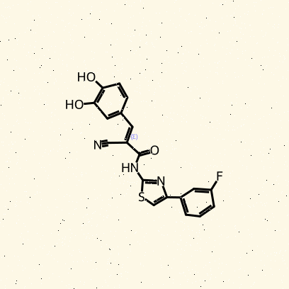 N#C/C(=C\c1ccc(O)c(O)c1)C(=O)Nc1nc(-c2cccc(F)c2)cs1